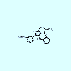 CC(=O)Nc1cc(-c2[nH]c3c(c2Nc2ccccc2)C(=O)N(C)CC3)ccn1